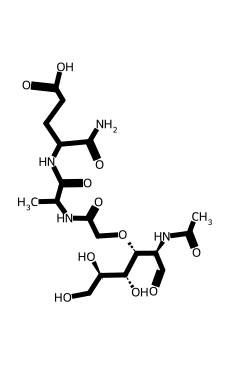 CC(=O)N[C@@H](C=O)[C@@H](OCC(=O)NC(C)C(=O)NC(CCC(=O)O)C(N)=O)[C@H](O)[C@H](O)CO